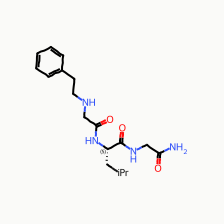 CC(C)C[C@H](NC(=O)CNCCc1ccccc1)C(=O)NCC(N)=O